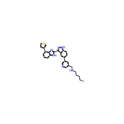 ICCCCNCc1cncc(-c2ccc3[nH]nc(-c4nc5c(-c6ccsc6)cccc5[nH]4)c3c2)c1